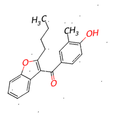 CCCCc1oc2ccccc2c1C(=O)c1ccc(O)c(C)c1